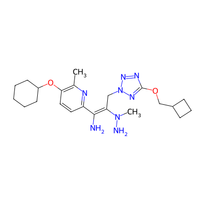 Cc1nc(/C(N)=C(\Cn2nnc(OCC3CCC3)n2)N(C)N)ccc1OC1CCCCC1